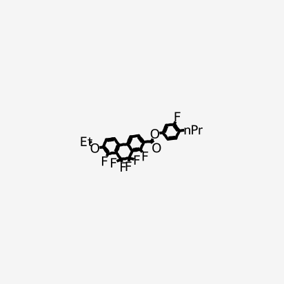 CCCc1ccc(OC(=O)c2ccc3c(c2F)C(F)(F)C(F)(F)c2c-3ccc(OCC)c2F)cc1F